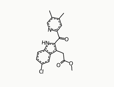 COC(=O)Cc1c(C(=O)c2cc(C)c(C)cn2)[nH]c2ccc(Cl)cc12